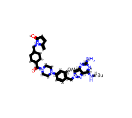 C=C1C=CC(=O)N1CC1CCC(C(=O)N2CCN(c3ccc(Cn4cc5nc(N)nc(NCCCC)c5n4)c(OC)c3)CC2)CC1